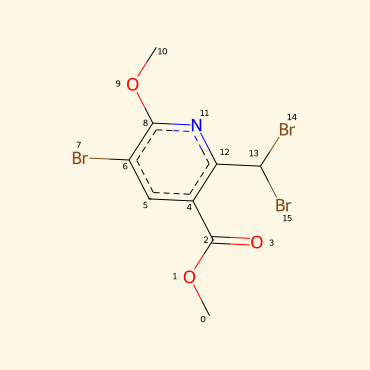 COC(=O)c1cc(Br)c(OC)nc1C(Br)Br